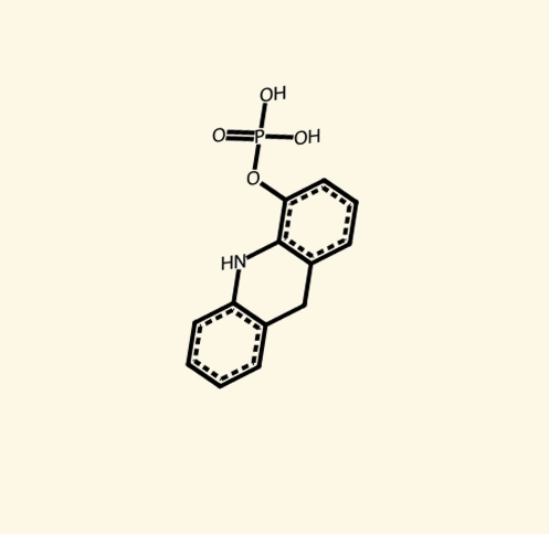 O=P(O)(O)Oc1cccc2c1Nc1ccccc1C2